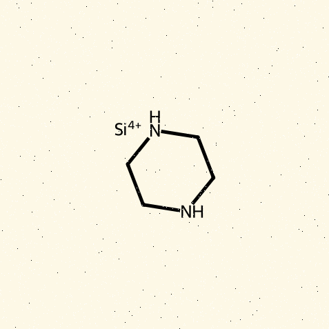 C1CNCCN1.[Si+4]